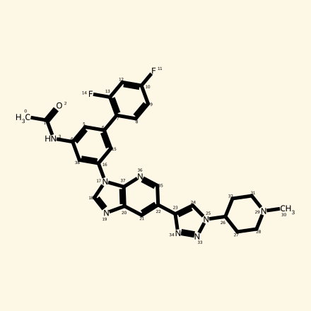 CC(=O)Nc1cc(-c2ccc(F)cc2F)cc(-n2cnc3cc(-c4cn(C5CCN(C)CC5)nn4)cnc32)c1